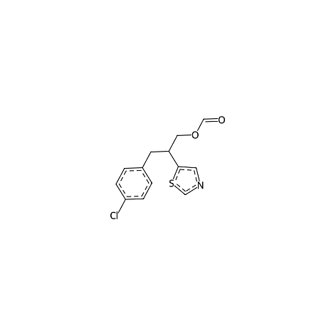 O=COCC(Cc1ccc(Cl)cc1)c1cncs1